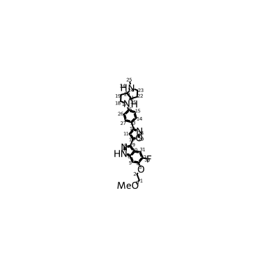 COCCOc1cc2[nH]nc(-c3cc(-c4ccc(N5CC[C@@H]6[C@@H]5CCN6C)cc4)no3)c2cc1F